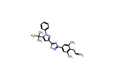 C=CCc1c(C)cc(-c2noc(-c3cc(C(C)(C)C)n(-c4ccccc4)n3)n2)cc1C